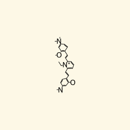 CC[n+]1c(/C=C/c2ccc(N(C)C)cc2OC)cccc1/C=C/c1ccc(N(C)C)cc1OC